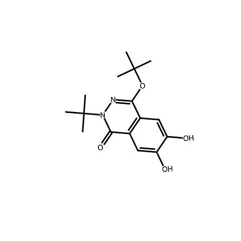 CC(C)(C)Oc1nn(C(C)(C)C)c(=O)c2cc(O)c(O)cc12